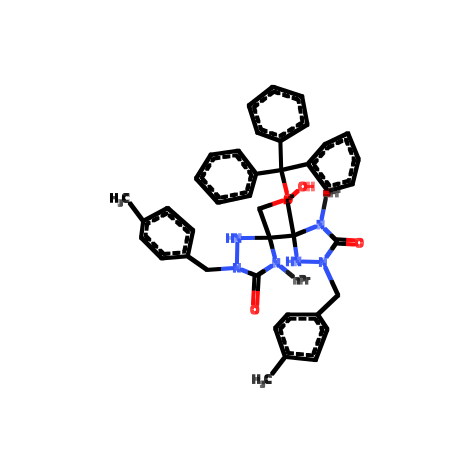 CCCN1C(=O)N(Cc2ccc(C)cc2)NC1(CO)C1(COC(c2ccccc2)(c2ccccc2)c2ccccc2)NN(Cc2ccc(C)cc2)C(=O)N1CCC